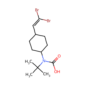 CC(C)(C)N(C(=O)O)C1CCC(C=C(Br)Br)CC1